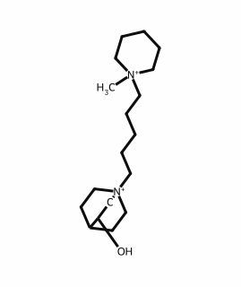 C[N+]1(CCCCC[N+]23CCC(CC2)C(O)C3)CCCCC1